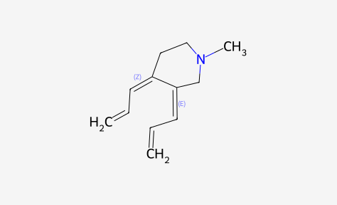 C=C/C=C1/CCN(C)C/C1=C/C=C